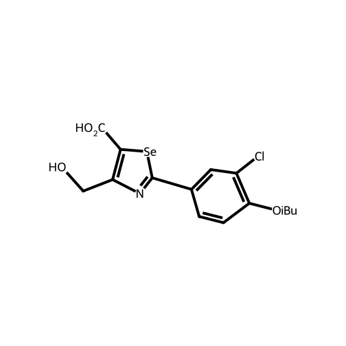 CC(C)COc1ccc(-c2nc(CO)c(C(=O)O)[se]2)cc1Cl